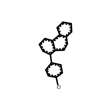 Clc1ccc(-c2cccc3c2ccc2ccccc23)cc1